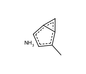 Cc1ccc2cc1-2.N